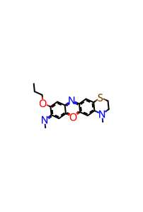 CCCOc1cc2nc3cc4c(cc3oc-2c/c1=N\C)N(C)CCS4